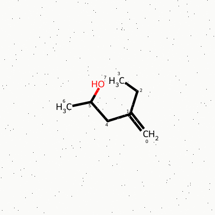 C=C(CC)CC(C)O